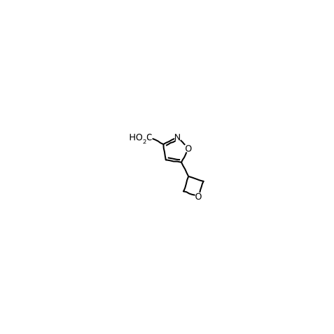 O=C(O)c1cc(C2COC2)on1